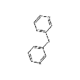 c1cncc(Sc2cccnc2)c1